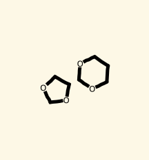 C1COCO1.C1COCOC1